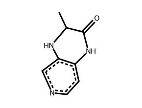 CC1Nc2cnccc2NC1=O